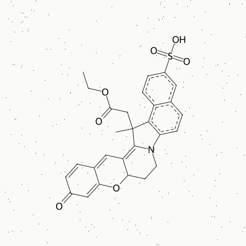 CCOC(=O)CC1(C)C2=C3C=C4C=CC(=O)C=C4OC3CCN2c2ccc3cc(S(=O)(=O)O)ccc3c21